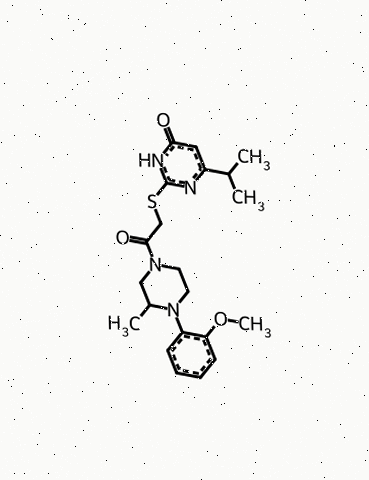 COc1ccccc1N1CCN(C(=O)CSc2nc(C(C)C)cc(=O)[nH]2)CC1C